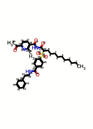 CCCCCCCCCCC(C(=O)NC(=O)c1ccc(C(C)=O)nc1C)S(=O)(=O)c1ccc(C(=O)NC=Cc2ccccc2)cc1